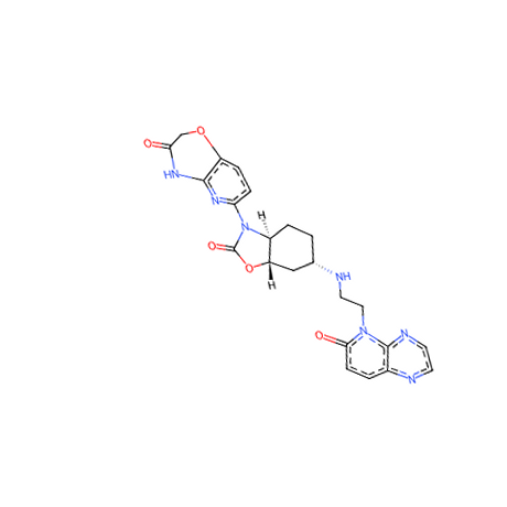 O=C1COc2ccc(N3C(=O)O[C@H]4C[C@@H](NCCn5c(=O)ccc6nccnc65)CC[C@@H]43)nc2N1